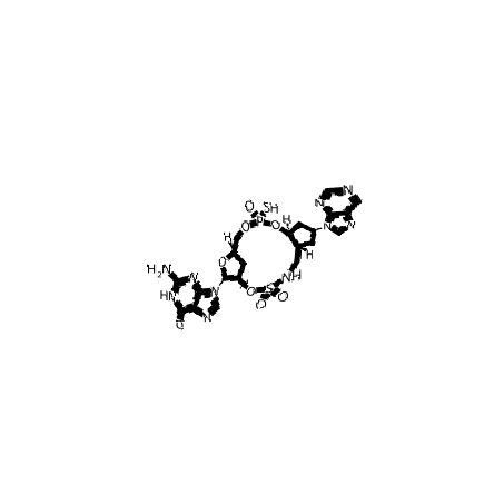 Nc1nc2c(ncn2[C@@H]2O[C@@H]3COP(=O)(S)O[C@H]4C[C@H](n5cnc6cncnc65)C[C@@H]4CNS(=O)(=O)O[C@@H]2C3)c(=O)[nH]1